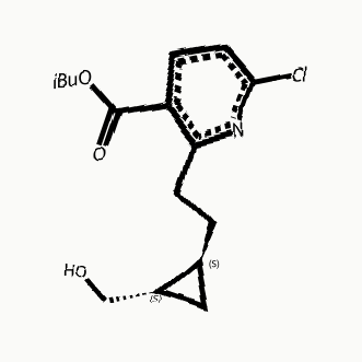 CC(C)COC(=O)c1ccc(Cl)nc1CC[C@H]1C[C@@H]1CO